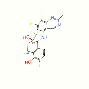 Cc1ncc2c(NC3c4ccc(F)c(O)c4[C@H](C)C[C@]3(O)C(F)(F)F)cc(F)c(F)c2n1